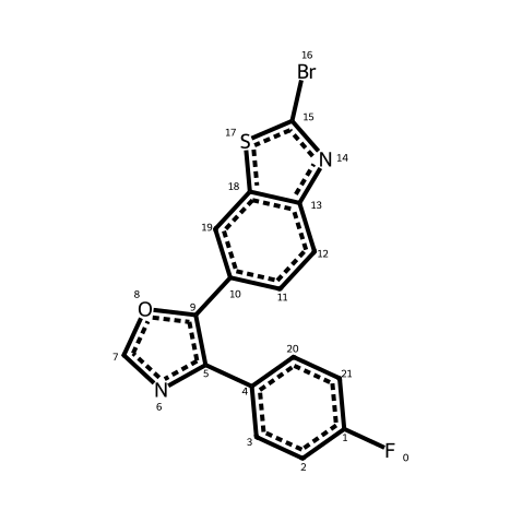 Fc1ccc(-c2ncoc2-c2ccc3nc(Br)sc3c2)cc1